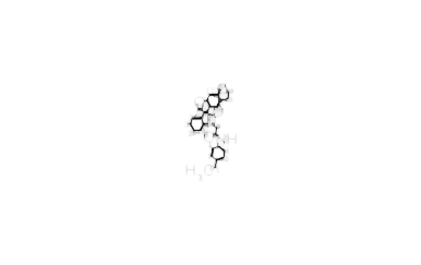 CCc1ccc(NC(=O)CN2C(=O)C3(COc4cc5c(cc43)CCO5)c3ccccc32)cc1